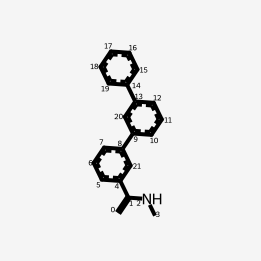 C=C(NC)c1cccc(-c2cccc(-c3ccccc3)c2)c1